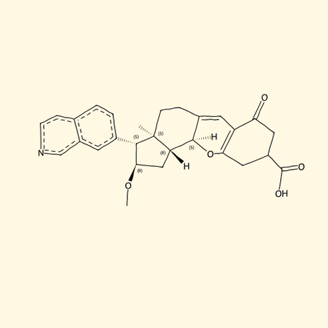 CO[C@@H]1C[C@H]2[C@@H]3OC4=C(C=C3CC[C@]2(C)[C@H]1c1ccc2ccncc2c1)C(=O)CC(C(=O)O)C4